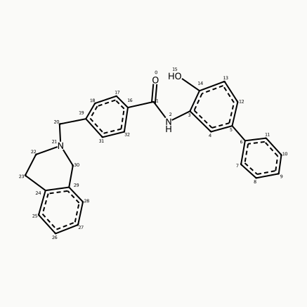 O=C(Nc1cc(-c2ccccc2)ccc1O)c1ccc(CN2CCc3ccccc3C2)cc1